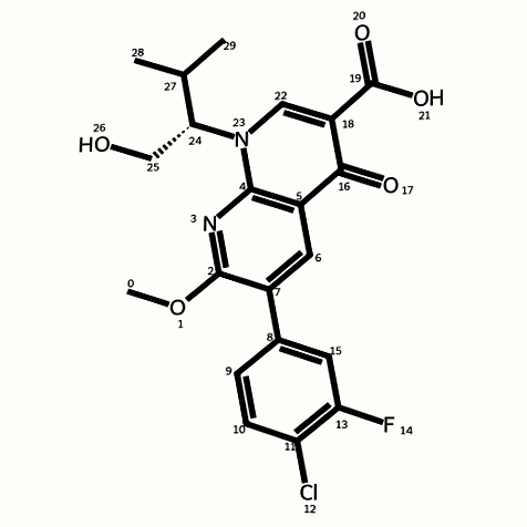 COc1nc2c(cc1-c1ccc(Cl)c(F)c1)c(=O)c(C(=O)O)cn2[C@H](CO)C(C)C